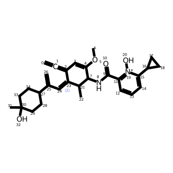 C=C=C1C=C(OC)C(NC(=O)c2cccc(C3CC3)[n+]2O)C(C)/C1=C/C(=C)C1CCC(C)(O)CC1